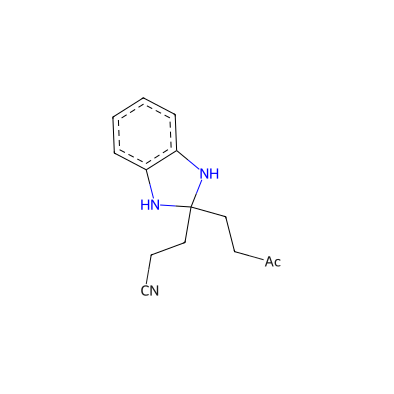 CC(=O)CCC1(CCC#N)Nc2ccccc2N1